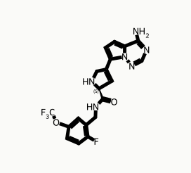 Nc1ncnn2c(C3=C[C@@H](C(=O)NCc4cc(OC(F)(F)F)ccc4F)NC3)ccc12